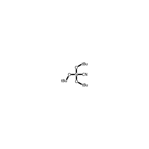 CC(C)(C)O[Si](C#N)(OC(C)(C)C)OC(C)(C)C